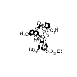 CCOC(=O)N1CCN(C(=O)[C@H](CCC(=O)O)NC(=O)c2cc(OCC(=O)N3CCC[C@@]3(C)C(=O)O)c3ccc(C)cc3n2)CC1